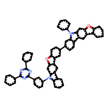 c1ccc(-c2nc(-c3ccccc3)nc(-c3cccc(-n4c5ccccc5c5cc6c(cc54)oc4ccc(-c5ccc7c8cc9c(cc8n(-c8ccccc8)c7c5)oc5ccccc59)cc46)c3)n2)cc1